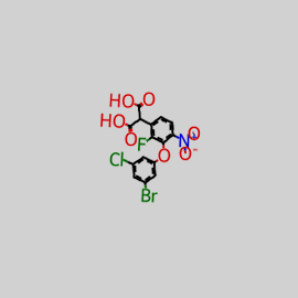 O=C(O)C(C(=O)O)c1ccc([N+](=O)[O-])c(Oc2cc(Cl)cc(Br)c2)c1F